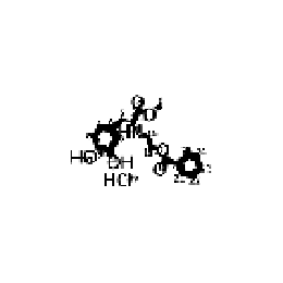 COC(=O)[C@H](Cc1ccc(O)c(O)c1)NCCOC(=O)c1ccccc1.Cl